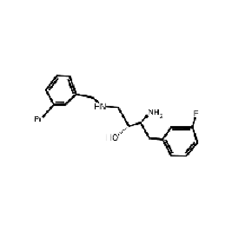 CC(C)c1cccc(CNC[C@@H](O)[C@@H](N)Cc2cccc(F)c2)c1